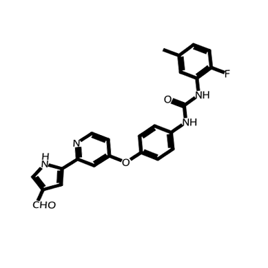 Cc1ccc(F)c(NC(=O)Nc2ccc(Oc3ccnc(-c4cc(C=O)c[nH]4)c3)cc2)c1